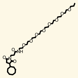 CCCOCCOCCOCCOCCOCCOCCOCCOCCNC(=O)CCN1C(=O)CC(C2CCCCCCC2)C1=O